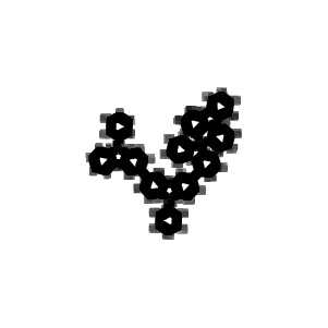 c1ccc(-n2c3ccccc3c3cc(-c4ccc5c(c4)c4cc(-c6cccc([Si](c7ccccc7)(c7ccccc7)c7cccc8c7oc7ccccc78)c6)ccc4n5-c4ccccc4)ccc32)cc1